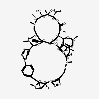 C#C[C@@]12C[C@@H](C)CN(C)[C@H](C)[C@@H](O)[C@](C)(O)[C@@H](CC)OC(=O)[C@H](C)[C@@H](C3C[C@@](C)(OC)C[C@H](C)O3)[C@H](C)[C@H]1O[C@H]1C[C@H](C[C@@H](C)O1)N(C)CCc1cn(nn1)[C@H](CF)[C@H](OC)c1ccc(cc1)-n1cc(nn1)C(NC)O2